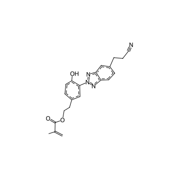 C=C(C)C(=O)OCCc1ccc(O)c(-n2nc3ccc(CCC#N)cc3n2)c1